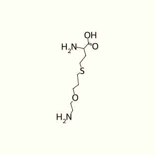 NCCOCCCSCCC(N)C(=O)O